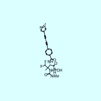 CNC(=O)NC(C)(C(F)F)[C@H](NC(=O)c1ccc(C#CC#Cc2cnn(C)c2)cc1)C(=O)NO